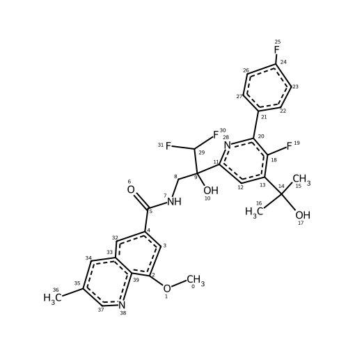 COc1cc(C(=O)NCC(O)(c2cc(C(C)(C)O)c(F)c(-c3ccc(F)cc3)n2)C(F)F)cc2cc(C)cnc12